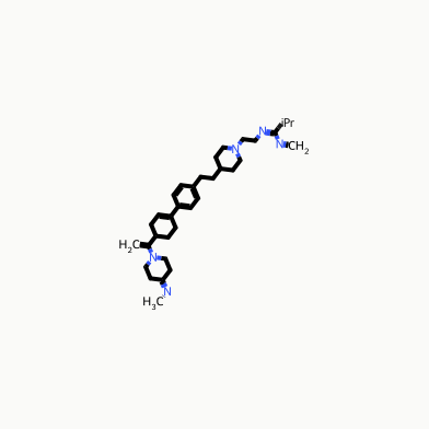 C=N/C(=N\CCN1CCC(CCc2ccc(C3=CCC(C(=C)N4CCC(=NC)CC4)CC3)cc2)CC1)C(C)C